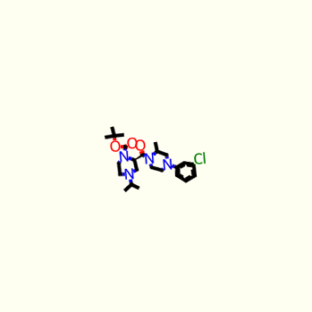 CC(C)N1CCN(C(=O)OC(C)(C)C)[C@@H](C(=O)N2CCN(c3cccc(Cl)c3)CC2C)C1